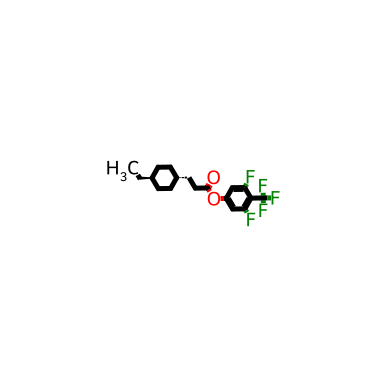 CC[C@H]1CC[C@H](CCC(=O)Oc2cc(F)c(C(F)(F)F)c(F)c2)CC1